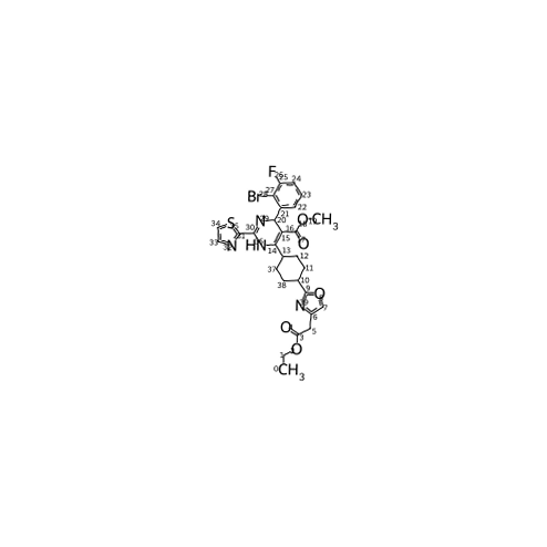 CCOC(=O)Cc1coc(C2CCC(C3=C(C(=O)OC)C(c4cccc(F)c4Br)N=C(c4nccs4)N3)CC2)n1